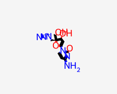 [N-]=[N+]=NC[C@]1(CO)OC(n2ccc(N)nc2=O)=C[C@@H]1O